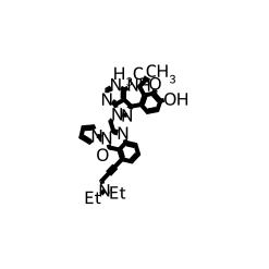 CCN(CC)CC#Cc1cccc2nc(Cn3nc(-c4ccc(O)c5c4CC(C)(C)O5)c4c(N)ncnc43)n(-n3cccc3)c(=O)c12